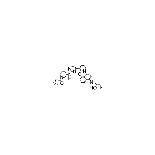 Cc1ccc2c(NCC(O)CF)cccc2c1Oc1ncccc1-c1ccnc(NC2CCCN(C(=O)OC(C)(C)C)C2)n1